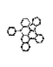 C1=CC(P(c2ccccc2)c2cc3ccccc3c3c4ccccc4n4c5ccccc5nc4c23)=CCC1